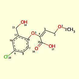 COCC=C(Oc1ccc(Cl)cc1CO)C(=O)O